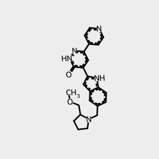 COCC1CCCN1Cc1ccc2[nH]c(-c3cc(-c4ccncc4)n[nH]c3=O)cc2c1